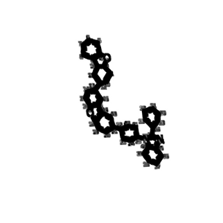 C1=CC2Oc3ccccc3C2C=C1c1ccc2oc3ccc(-c4ccc(-n5c(-c6ccccc6)nc6ccccc65)cc4)cc3c2c1